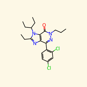 CCCn1nc(-c2ccc(Cl)cc2Cl)c2nc(CC)n(C(CC)CC)c2c1=O